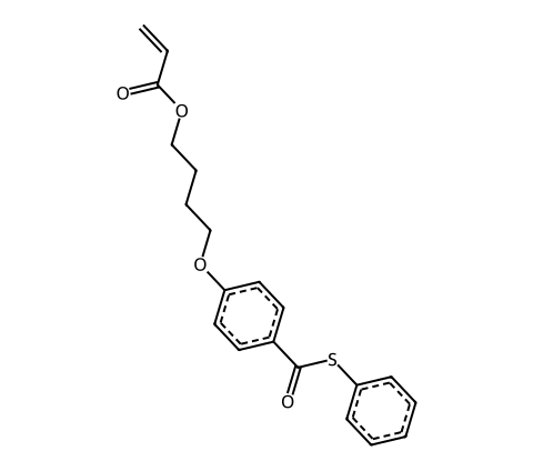 C=CC(=O)OCCCCOc1ccc(C(=O)Sc2ccccc2)cc1